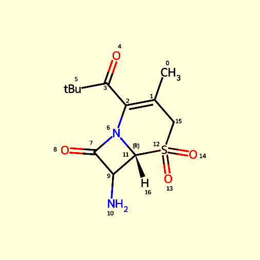 CC1=C(C(=O)C(C)(C)C)N2C(=O)C(N)[C@H]2S(=O)(=O)C1